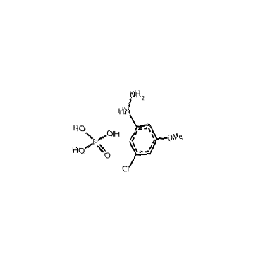 COc1cc(Cl)cc(NN)c1.O=P(O)(O)O